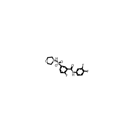 O=C(Nc1ccc(F)c(F)c1)c1cc(S(=O)(=O)NN2CCOCC2)ccc1F